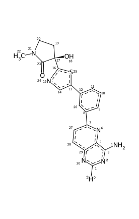 [2H]c1nc(N)c2nc(-c3cccc(-c4cnc([C@@]5(O)CCN(C)C5=O)s4)c3)ccc2n1